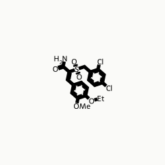 CCOc1ccc(C=C(C(N)=O)S(=O)(=O)Cc2ccc(Cl)cc2Cl)cc1OC